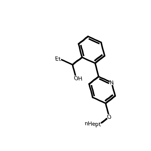 CCCCCCCOc1ccc(-c2ccccc2C(O)CC)nc1